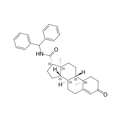 C[C@]12CC[C@H]3[C@@H](CCC4=CC(=O)CC[C@@]43C)[C@@H]1CC[C@@H]2C(=O)NC(c1ccccc1)c1ccccc1